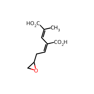 CC(=CC(=CCC1CO1)C(=O)O)C(=O)O